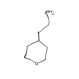 BCCC1CCOCC1